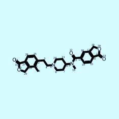 Cc1c(CCN2CCC(N(C)C(=O)c3ccc4c(c3)COC4=O)CC2)ccc2c1COC2=O